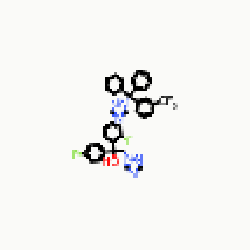 FC(F)(F)c1cccc(C(c2ccccc2)(c2ccccc2)n2cncn2)c1.OC(Cn1cncn1)(c1ccc(F)cc1)c1ccccc1F